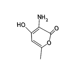 Cc1cc(O)c(N)c(=O)o1